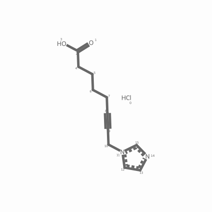 Cl.O=C(O)CCCCC#CCn1ccnc1